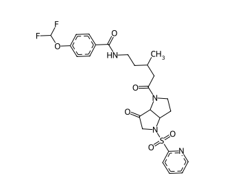 CC(CCNC(=O)c1ccc(OC(F)F)cc1)CC(=O)N1CCC2C1C(=O)CN2S(=O)(=O)c1ccccn1